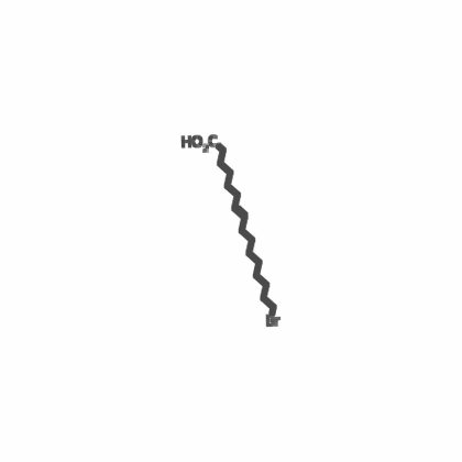 O=C(O)CCCCCC=CCCCCCCCCBr